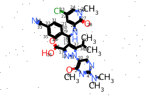 COc1nc(N(C)C)ncc1-n1nc(C(=O)O)c(C(Nc2cc(Cl)cn(C)c2=O)c2ccc(C#N)cc2)c1C(C)C